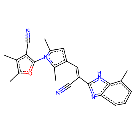 Cc1oc(-n2c(C)cc(C=C(C#N)c3nc4cccc(C)c4[nH]3)c2C)c(C#N)c1C